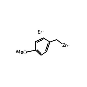 COc1ccc([CH2][Zn+])cc1.[Br-]